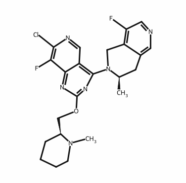 C[C@@H]1Cc2cncc(F)c2CN1c1nc(OC[C@@H]2CCCCN2C)nc2c(F)c(Cl)ncc12